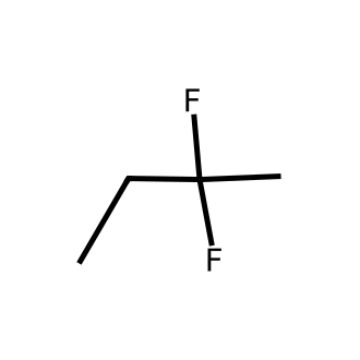 CCC(C)(F)F